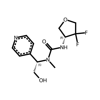 CN(C(=O)N[C@@H]1COCC1(F)F)[C@H](CO)c1ccncc1